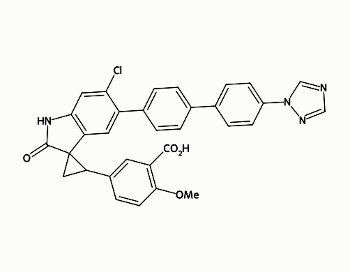 COc1ccc(C2CC23C(=O)Nc2cc(Cl)c(-c4ccc(-c5ccc(-n6cncn6)cc5)cc4)cc23)cc1C(=O)O